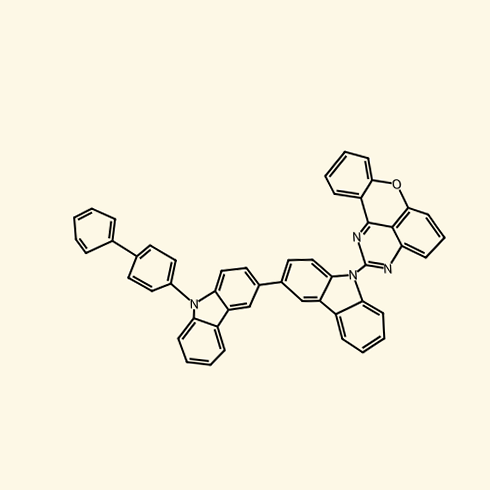 c1ccc(-c2ccc(-n3c4ccccc4c4cc(-c5ccc6c(c5)c5ccccc5n6-c5nc6c7c(cccc7n5)Oc5ccccc5-6)ccc43)cc2)cc1